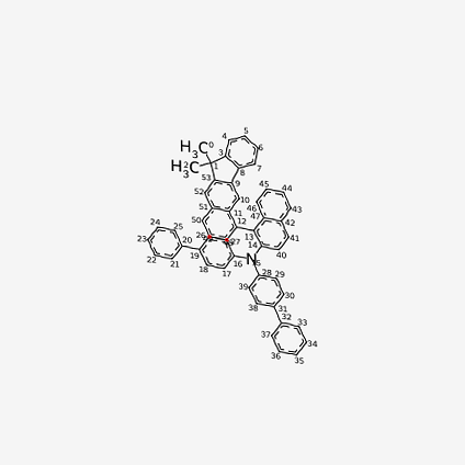 CC1(C)c2ccccc2-c2cc3c(-c4c(N(c5ccc(-c6ccccc6)cc5)c5ccc(-c6ccccc6)cc5)ccc5ccccc45)cccc3cc21